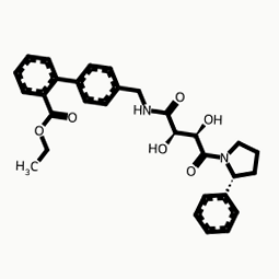 CCOC(=O)c1ccccc1-c1ccc(CNC(=O)[C@H](O)[C@@H](O)C(=O)N2CCC[C@@H]2c2ccccc2)cc1